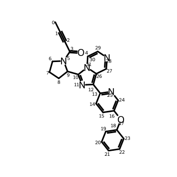 CC#CC(=O)N1CCCC1c1nc(-c2ccc(Oc3ccccc3)cn2)c2cnccn12